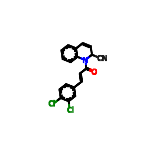 N#CC1C=Cc2ccccc2N1C(=O)C=Cc1ccc(Cl)c(Cl)c1